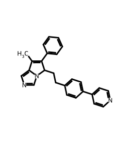 CC1=C(c2ccccc2)C(CCc2ccc(-c3ccncc3)cc2)n2cncc21